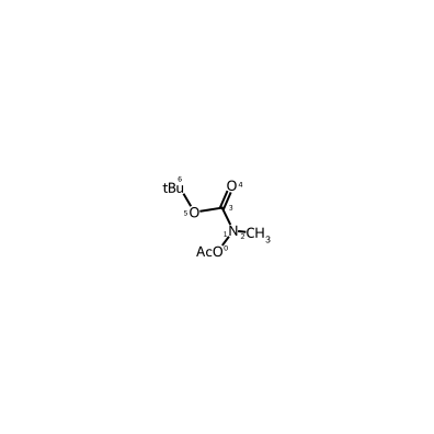 CC(=O)ON(C)C(=O)OC(C)(C)C